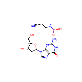 N#CCCNP(O)O.Nc1nc2c(ncn2C2C[C@H](O)[C@@H](CO)O2)c(=O)[nH]1